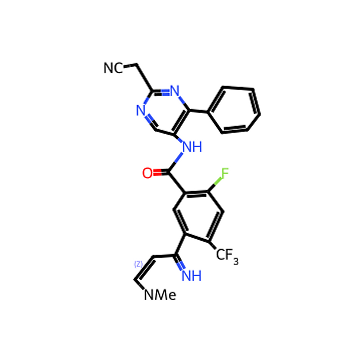 CN/C=C\C(=N)c1cc(C(=O)Nc2cnc(CC#N)nc2-c2ccccc2)c(F)cc1C(F)(F)F